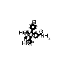 NC(=O)C1CCN(c2ncnc3[nH]ccc23)C([C@@H](CCO)c2ccc(Cl)cc2)C1